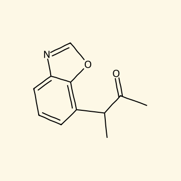 CC(=O)C(C)c1cccc2ncoc12